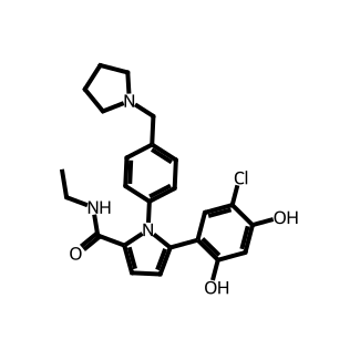 CCNC(=O)c1ccc(-c2cc(Cl)c(O)cc2O)n1-c1ccc(CN2CCCC2)cc1